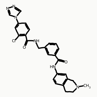 CN1CCc2ccc(NC(=O)c3cccc(CNC(=O)c4ccc(-n5cnnc5)cc4Cl)c3)cc2C1